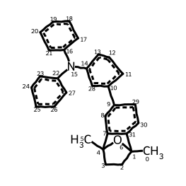 CC12CCC(C)(O1)c1cc(-c3cccc(N(c4ccccc4)c4ccccc4)c3)ccc12